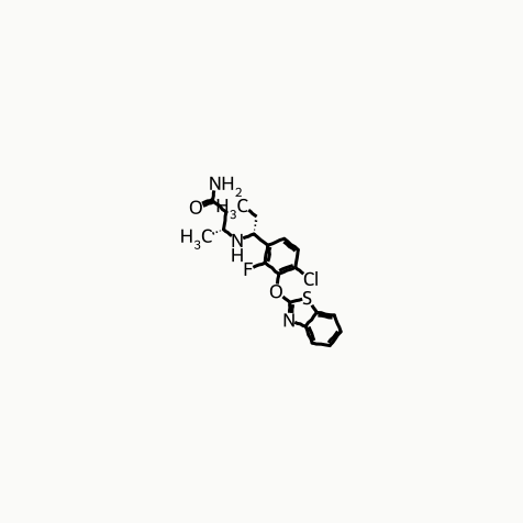 CC[C@@H](N[C@H](C)CC(N)=O)c1ccc(Cl)c(Oc2nc3ccccc3s2)c1F